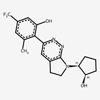 Cc1cc(C(F)(F)F)cc(O)c1-c1cc2c(nn1)N([C@H]1CCC[C@H]1O)CC2